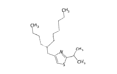 CCCCCCC(CCCC)Cc1csc(C(C)C)n1